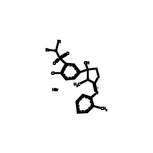 Br.CCN(CC)S(=O)(=O)c1cc(C2(O)CS/C(=N/c3ccccc3C)N2C)ccc1Cl